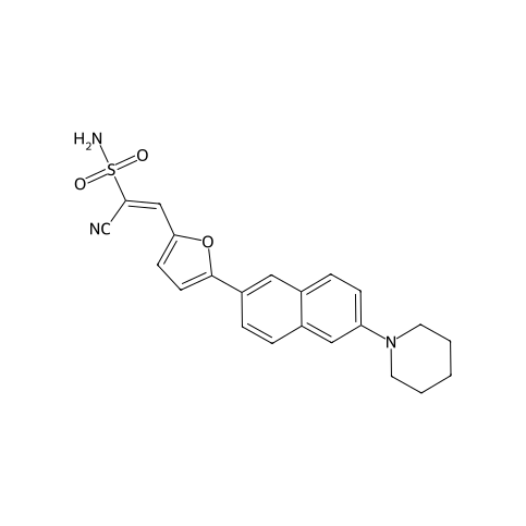 N#C/C(=C\c1ccc(-c2ccc3cc(N4CCCCC4)ccc3c2)o1)S(N)(=O)=O